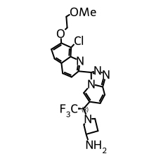 COCCOc1ccc2ccc(-c3nnc4ccc([C@@H](N5CCC(N)C5)C(F)(F)F)cn34)nc2c1Cl